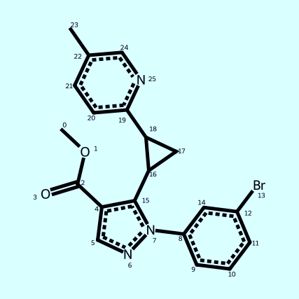 COC(=O)c1cnn(-c2cccc(Br)c2)c1C1CC1c1ccc(C)cn1